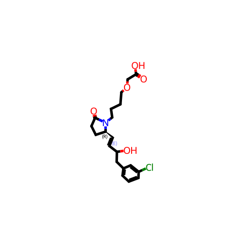 O=C(O)COCCCCN1C(=O)CC[C@@H]1/C=C/C(O)Cc1cccc(Cl)c1